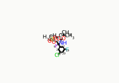 CC(C)(C)OC(=O)N[C@@](I)(COS(C)(=O)=O)c1cc(F)cc(Cl)c1